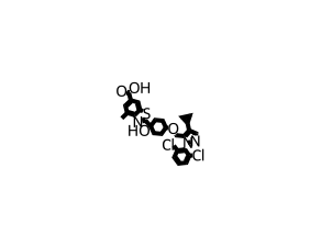 Cc1cc(C(=O)O)cc2sc(C3(O)CCC(OCc4c(C5CC5)cnn4-c4c(Cl)cccc4Cl)CC3)nc12